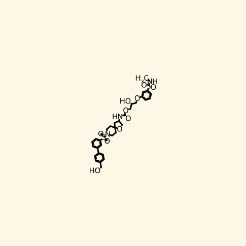 CNS(=O)(=O)c1cccc(OCC(O)COC(=O)NC2COC3(CCN(S(=O)(=O)c4cccc(-c5ccc(CO)cc5)c4)CC3)C2)c1